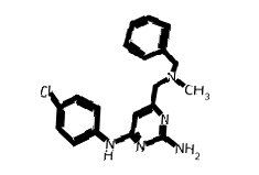 CN(Cc1ccccc1)Cc1cc(Nc2ccc(Cl)cc2)nc(N)n1